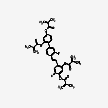 C=C(C)C(=O)Oc1ccc(-c2ccc(/C=C/c3cc(F)c(OC(=O)C(=C)C)cc3OC(=O)C(=C)C)c(F)c2)c(OC(=O)C(=C)C)c1